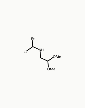 CCC(CC)NCC(OC)OC